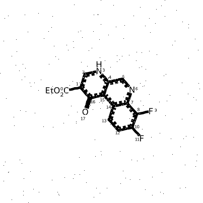 CCOC(=O)c1c[nH]c2cnc3c(F)c(F)ccc3c2c1=O